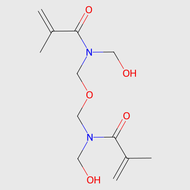 C=C(C)C(=O)N(CO)COCN(CO)C(=O)C(=C)C